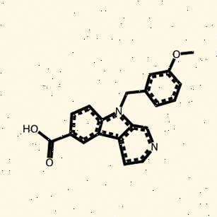 COc1cccc(Cn2c3ccc(C(=O)O)cc3c3ccncc32)c1